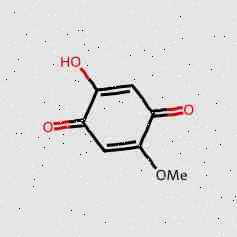 COC1=CC(=O)C(O)=CC1=O